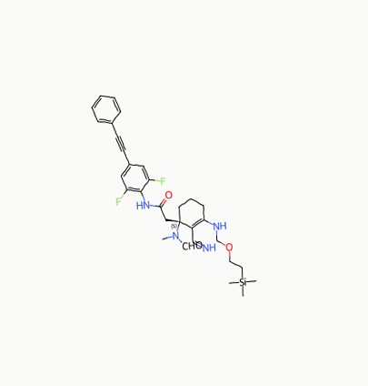 CN(C=O)[C@]1(CC(=O)Nc2c(F)cc(C#Cc3ccccc3)cc2F)CCCC(NCOCC[Si](C)(C)C)=C1C=N